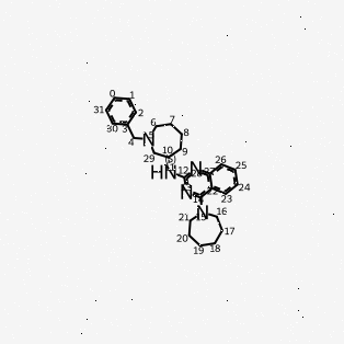 c1ccc(CN2CCCC[C@H](Nc3nc(N4CCCCCC4)c4ccccc4n3)C2)cc1